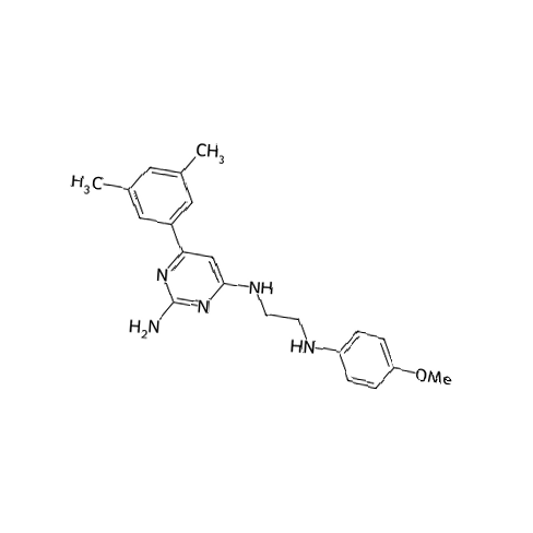 COc1ccc(NCCNc2cc(-c3cc(C)cc(C)c3)nc(N)n2)cc1